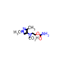 Cc1nn(C)cc1N(CCOC(N)=O)C(=O)O